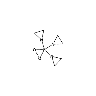 C1CN1P1(N2CC2)(N2CC2)OO1